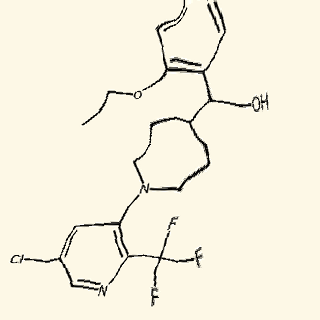 CCOc1ccncc1C(O)C1CCN(c2cc(Cl)cnc2C(F)(F)F)CC1